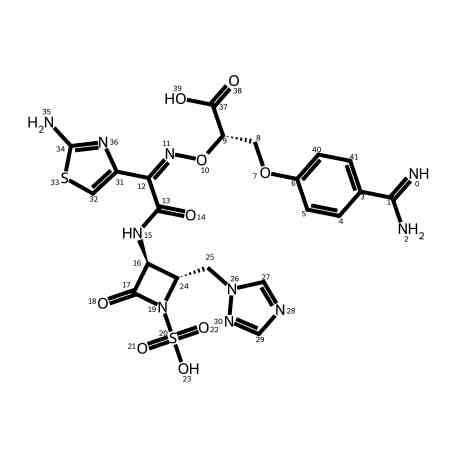 N=C(N)c1ccc(OC[C@H](ON=C(C(=O)N[C@@H]2C(=O)N(S(=O)(=O)O)[C@H]2Cn2cncn2)c2csc(N)n2)C(=O)O)cc1